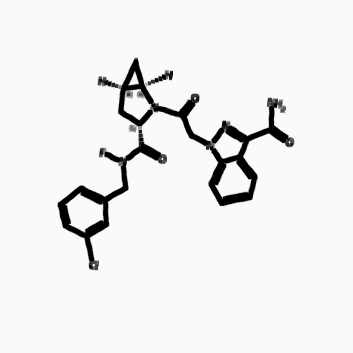 NC(=O)c1nn(CC(=O)N2[C@@H]3C[C@@H]3C[C@H]2C(=O)N(F)Cc2cccc(Cl)c2)c2ccccc12